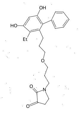 CCc1c(O)cc(O)c(-c2ccccc2)c1CCCOCCCN1CCC(=O)C1=O